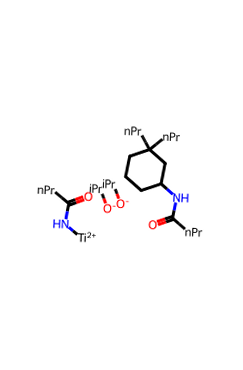 CC(C)[O-].CC(C)[O-].CCCC(=O)NC1CCCC(CCC)(CCC)C1.CCCC(=O)[NH][Ti+2]